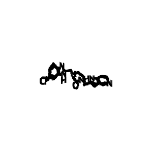 O=C1CN(Cc2nc3ccc(Cl)cc3[nH]2)CCN1Cc1cc2cnccc2[nH]1